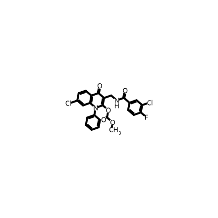 COC(=O)Oc1c(CNC(=O)c2ccc(F)c(Cl)c2)c(=O)c2ccc(Cl)cc2n1-c1ccccc1